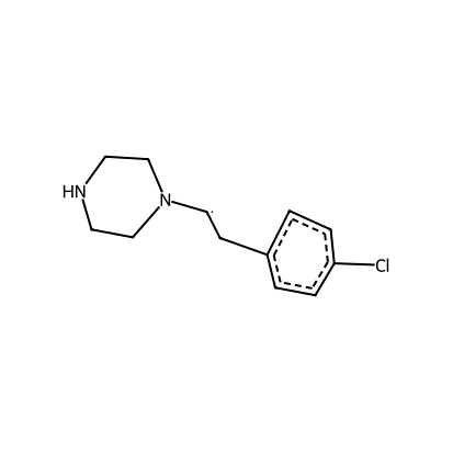 Clc1ccc(C[CH]N2CCNCC2)cc1